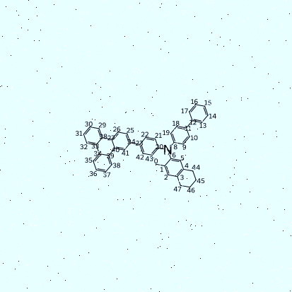 Cc1cc2c(cc1N(c1ccc(-c3ccccc3)cc1)c1ccc(-c3ccc4c5ccccc5c5ccccc5c4c3)cc1)CCCC2